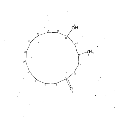 CC1CCC(=O)CCCCCCCCCCC(O)C1